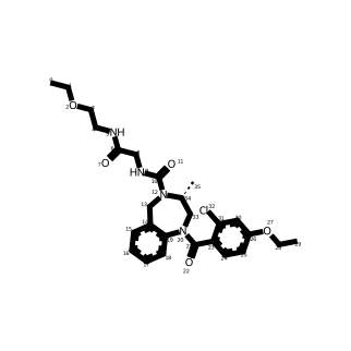 CCOCCNC(=O)CNC(=O)N1Cc2ccccc2N(C(=O)c2ccc(OCC)cc2Cl)C[C@H]1C